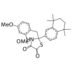 COc1ccc(CC2(c3ccc4c(c3)C(C)(C)CCC4(C)C)NC(=O)C(=O)S2)c(OC)c1